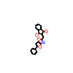 O=C1C(=Cc2nc3oc(-c4ccccc4)cc3o2)C(=O)c2ccccc21